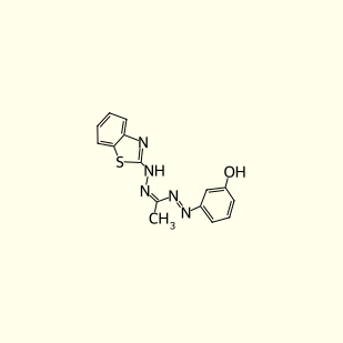 CC(=N/Nc1nc2ccccc2s1)/N=N/c1cccc(O)c1